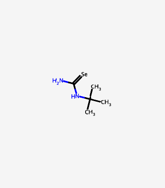 CC(C)(C)NC(N)=[Se]